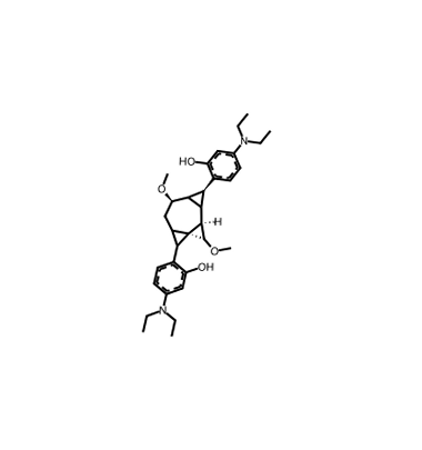 CCN(CC)c1ccc(C2C3C[C@@H](OC)C4C([C@@H]4c4ccc(N(CC)CC)cc4O)[C@H]4C(OC)[C@@]324)c(O)c1